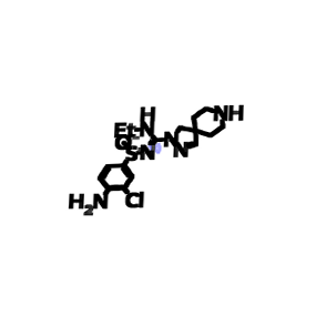 CCN/C(=N\[S+]([O-])c1ccc(N)c(Cl)c1)N1CC2(C=N1)CCNCC2